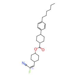 CCCCCCc1ccc(C2CCC(C(=O)OC3CCC(/C=C(/F)C#N)CC3)CC2)cc1